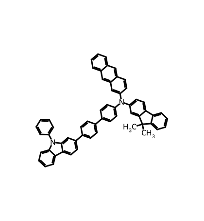 CC1(C)c2ccccc2-c2ccc(N(c3ccc(-c4ccc(-c5ccc6c7ccccc7n(-c7ccccc7)c6c5)cc4)cc3)c3ccc4cc5ccccc5cc4c3)cc21